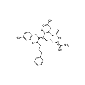 N=C(N)NCCC[C@H](C(=O)N(CC(=O)O)CC(=O)O)N(Cc1ccc(O)cc1)C(=O)CCCc1ccccc1